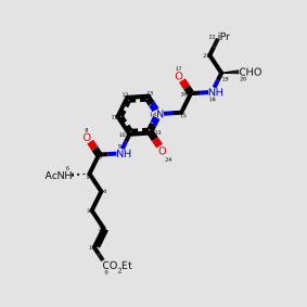 CCOC(=O)/C=C/CC[C@H](NC(C)=O)C(=O)Nc1cccn(CC(=O)N[C@H](C=O)CC(C)C)c1=O